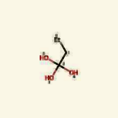 CC[CH]C(O)(O)O